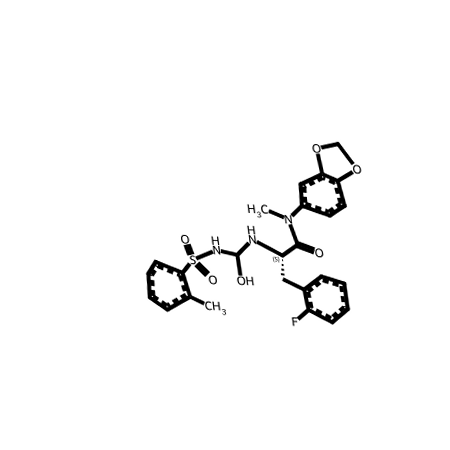 Cc1ccccc1S(=O)(=O)NC(O)N[C@@H](Cc1ccccc1F)C(=O)N(C)c1ccc2c(c1)OCO2